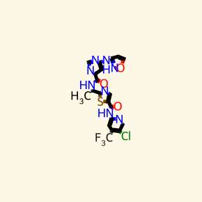 C[C@H](NC(=O)c1cc(Nc2ccon2)ncn1)c1ncc(C(=O)Nc2cc(C(F)(F)F)c(Cl)cn2)s1